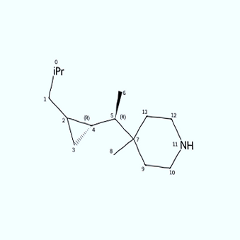 CC(C)CC1C[C@H]1[C@@H](C)C1(C)CCNCC1